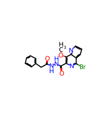 COc1c(C(=O)NNC(=O)Cc2ccccc2)nc(Br)c2cccnc12